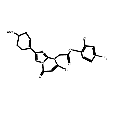 CCc1cc(=O)n2nc(C3=CCC(OC)CC3)nc2n1CC(=O)Nc1ccc(C(F)(F)F)cc1Cl